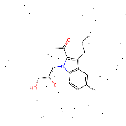 CCCc1c(C(C)=O)n(CC(O)CO)c2ccc(C)cc12